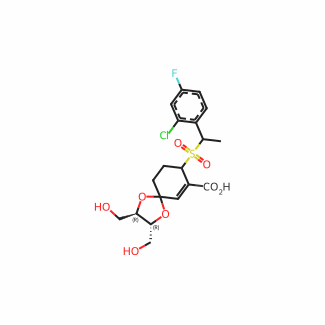 CC(c1ccc(F)cc1Cl)S(=O)(=O)C1CCC2(C=C1C(=O)O)O[C@H](CO)[C@@H](CO)O2